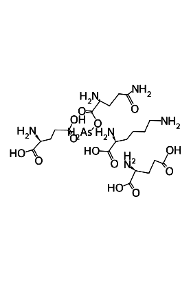 NC(=O)CC[C@H](N)C(=O)O[AsH2].NCCCC[C@H](N)C(=O)O.N[C@@H](CCC(=O)O)C(=O)O.N[C@@H](CCC(=O)O)C(=O)O